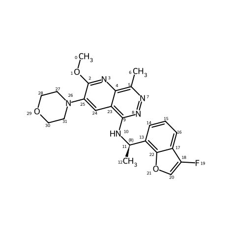 COc1nc2c(C)nnc(N[C@H](C)c3cccc4c(F)coc34)c2cc1N1CCOCC1